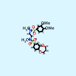 COc1ccc(S(=O)(=O)N(C)CCN(C)S(=O)(=O)c2ccc3c(c2)OCCCO3)cc1OC